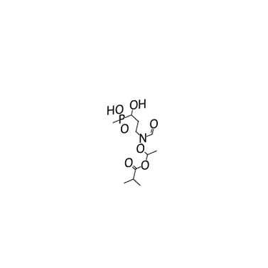 CC(OC(=O)C(C)C)ON(C=O)CCC(O)P(C)(=O)O